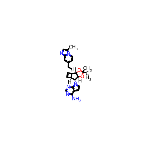 Cc1cnc2cc(CC[C@@]34C=C[C@@H]3[C@@H](n3ccc5c(N)ncnc53)[C@@H]3OC(C)(C)O[C@@H]34)ccn12